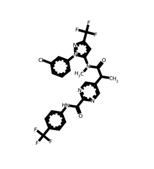 CC(C(=O)N(C)c1cc(C(F)(F)F)nn1-c1cccc(Cl)c1)c1cnc(C(=O)Nc2ccc(C(F)(F)F)cc2)nc1